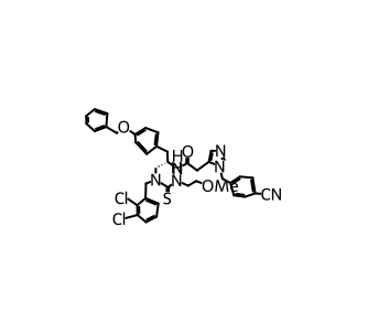 COCCNC(=S)N(Cc1cccc(Cl)c1Cl)C[C@H](Cc1ccc(OCc2ccccc2)cc1)NC(=O)Cc1cncn1Cc1ccc(C#N)cc1